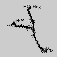 CCCCCCC(O)C/C=C\CCCCCCCC(=O)OCCOCC(COCCOC(=O)CCCCCCC/C=C\CC(O)CCCCCC)OCCOC(=O)CCCCCCC/C=C\CC(O)CCCCCC